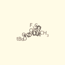 Cc1ncc2cc(N3CCN(C(=O)OC(C)(C)C)CC3)c(=O)n(Cc3ncccc3C(F)(F)F)c2n1